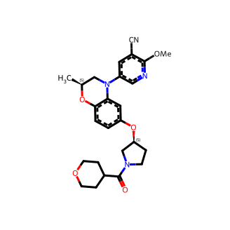 COc1ncc(N2C[C@H](C)Oc3ccc(O[C@H]4CCN(C(=O)C5CCOCC5)C4)cc32)cc1C#N